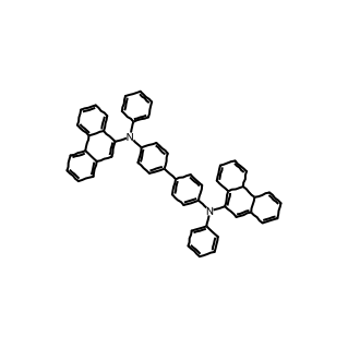 C1=CC2=CC(N(c3ccccc3)c3ccc(-c4ccc(N(c5ccccc5)c5cc6ccccc6c6ccccc56)cc4)cc3)=C3C=CC=CC3C2C=C1